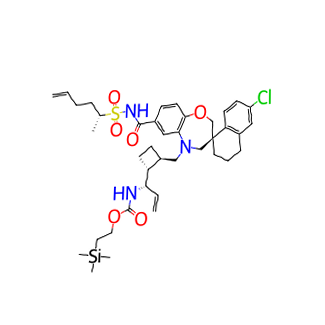 C=CCC[C@@H](C)S(=O)(=O)NC(=O)c1ccc2c(c1)N(C[C@@H]1CC[C@H]1[C@H](C=C)NC(=O)OCC[Si](C)(C)C)C[C@@]1(CCCc3cc(Cl)ccc31)CO2